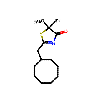 COC1(C(C)C)SC(CC2CCCCCCC2)=NC1=O